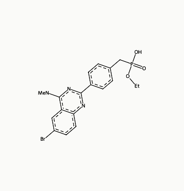 CCOP(=O)(O)Cc1ccc(-c2nc(NC)c3cc(Br)ccc3n2)cc1